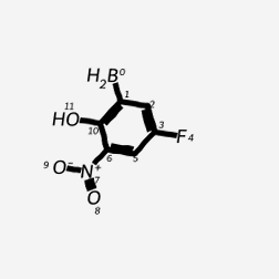 Bc1cc(F)cc([N+](=O)[O-])c1O